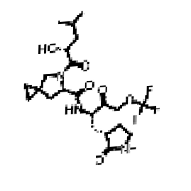 CC(C)C[C@@H](O)C(=O)N1CC2(CC2)CC1C(=O)N[C@@H](C[C@@H]1CCNC1=O)C(=O)COC(F)(F)F